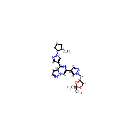 C[C@@H]1CCC[C@@H]1n1cc(-c2nc(-c3cnn(C[C@@H]4COC(C)(C)O4)c3)cn3nccc23)cn1